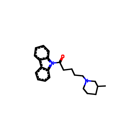 CC1CCCN(CCCCC(=O)n2c3ccccc3c3ccccc32)C1